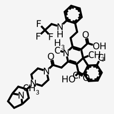 CN1C(CCc2ccccc2NCC(F)(F)F)=C(C(=O)O)C(C)(c2c(Cl)cccc2Cl)C(C(=O)O)=C1CC(=O)N1CCN(C2CC3CCC(C2)N3C)CC1